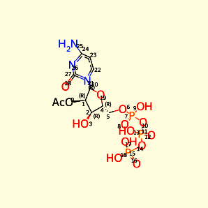 CC(=O)O[C@@H]1[C@H](O)[C@@H](COP(=O)(O)OP(=O)(O)OP(=O)(O)O)O[C@H]1n1ccc(N)nc1=O